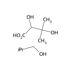 CC(C)(O)C(O)C(=O)O.CC(C)CO